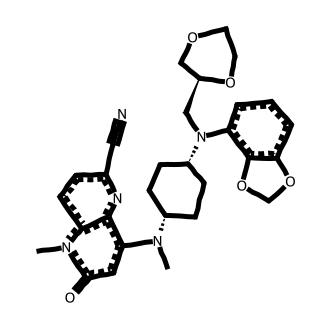 Cn1c(=O)cc(N(C)[C@H]2CC[C@@H](N(C[C@H]3COCCO3)c3cccc4c3OCO4)CC2)c2nc(C#N)ccc21